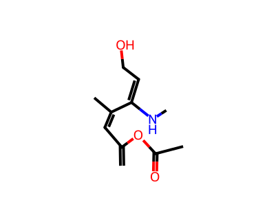 C=C(/C=C(C)\C(=C/CO)NC)OC(C)=O